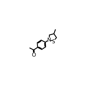 CC(=O)c1ccc(N2CC(C)CS2)cc1